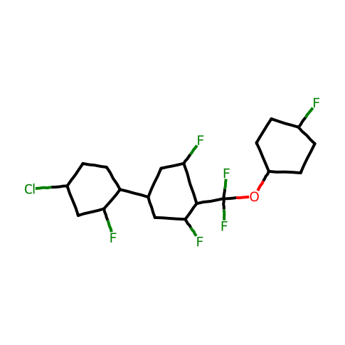 FC1CCC(OC(F)(F)C2C(F)CC(C3CCC(Cl)CC3F)CC2F)CC1